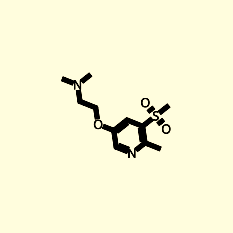 Cc1ncc(OCCN(C)C)cc1S(C)(=O)=O